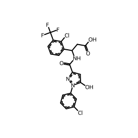 O=C(O)CC(NC(=O)c1cc(O)n(-c2cccc(Cl)c2)n1)c1cccc(C(F)(F)F)c1Cl